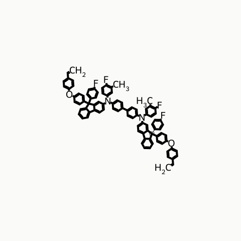 C=Cc1ccc(Oc2ccc(C3(c4ccc(F)cc4)c4ccccc4-c4ccc(N(c5ccc(-c6ccc(N(c7ccc(F)c(C)c7)c7ccc8c(c7)[C@@](c7ccc(F)cc7)(c7ccc(Oc9ccc(C=C)cc9)cc7)c7ccccc7-8)cc6)cc5)c5ccc(F)c(C)c5)cc43)cc2)cc1